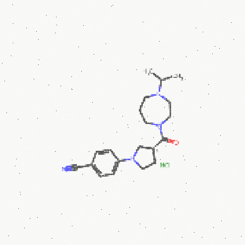 CC(C)N1CCCN(C(=O)[C@H]2CCN(c3ccc(C#N)cc3)C2)CC1.Cl